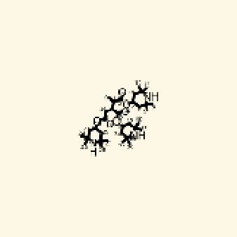 CC(C(=O)OC1CC(C)(C)NC(C)(C)C1)C(CC(=O)OC1CC(C)(C)NC(C)(C)C1)C(=O)OC1CC(C)(C)NC(C)(C)C1